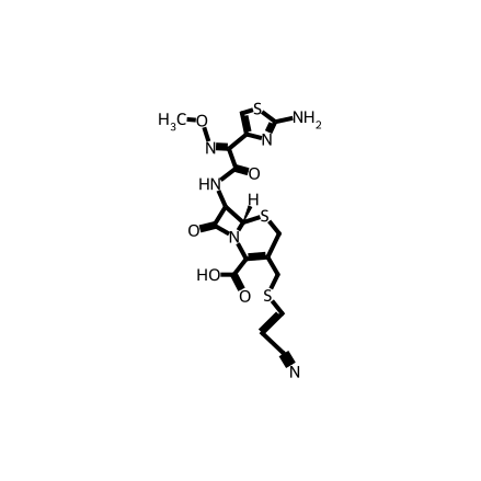 CON=C(C(=O)NC1C(=O)N2C(C(=O)O)=C(CS/C=C/C#N)CS[C@@H]12)c1csc(N)n1